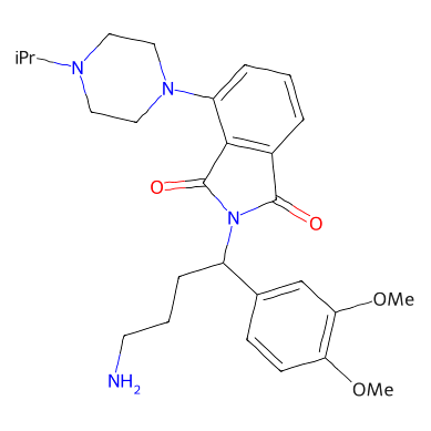 COc1ccc(C(CCCN)N2C(=O)c3cccc(N4CCN(C(C)C)CC4)c3C2=O)cc1OC